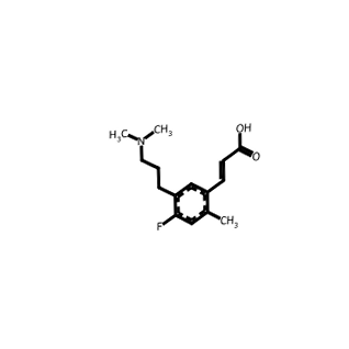 Cc1cc(F)c(CCCN(C)C)cc1/C=C/C(=O)O